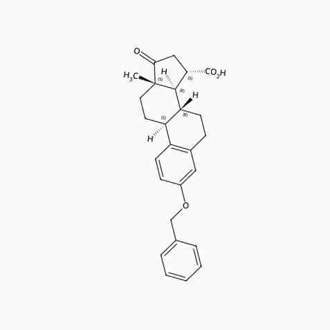 C[C@]12CC[C@@H]3c4ccc(OCc5ccccc5)cc4CC[C@H]3[C@@H]1[C@@H](C(=O)O)CC2=O